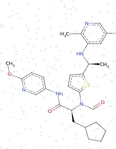 COc1ccc(NC(=O)[C@H](CC2CCCC2)N(C=O)c2ccc([C@H](C)Nc3cc(Cl)cnc3C)s2)cn1